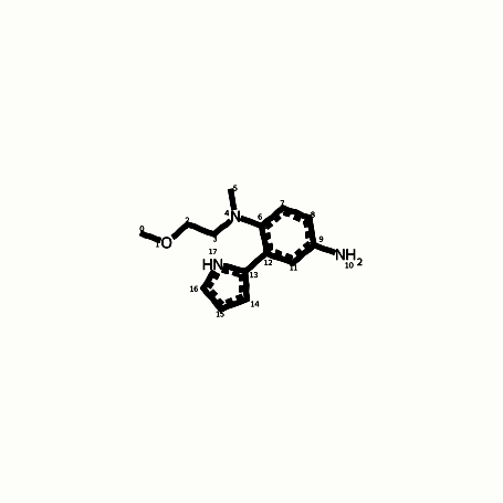 COCCN(C)c1ccc(N)cc1-c1ccc[nH]1